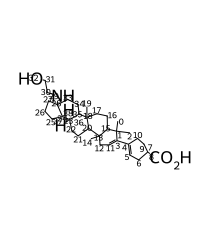 CC1(C)C(C2=CCC(C(=O)O)CC2)=CCC2(C)C1CCC1(C)C2CC[C@@H]2[C@H]3CCCC3(NCCO)CC[C@]21C